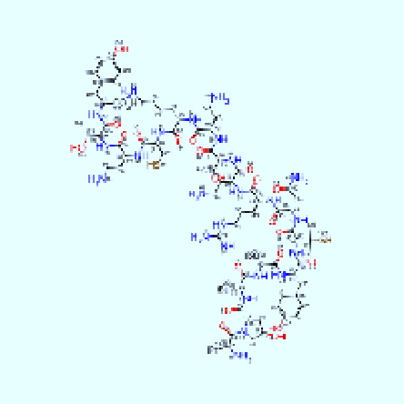 CC[C@H](C)[C@H](NC(=O)[C@@H](NC(=O)[C@@H]1C[C@@H](O)CN1C(=O)[C@@H](N)C(C)C)[C@@H](C)CC)C(=O)N[C@@H](Cc1ccc(O)cc1)C(=O)N[C@H](C(=O)N[C@@H](CC(N)=O)C(=O)N[C@@H](CCCNC(=N)N)C(=O)N[C@@H](CCN)C(=O)N[C@H](C(=O)N[C@H](CCN)C(=O)N[C@@H](CCCCN)C(=O)N[C@@H](CS)C(=O)N[C@@H](CCN)C(=O)N[C@H](C(=O)N[C@@H](Cc1ccc(O)cc1)C(=O)O)[C@@H](C)O)[C@@H](C)O)C(C)(C)S